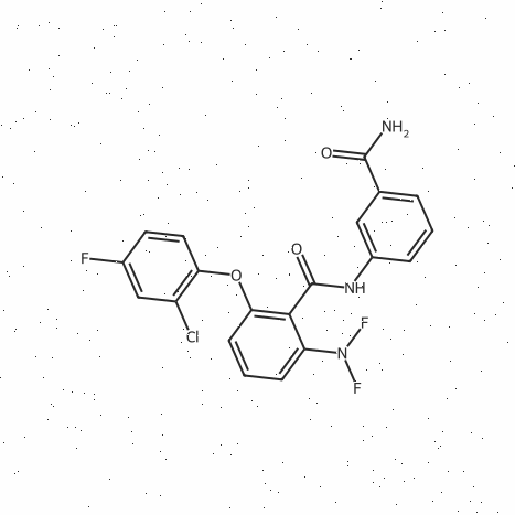 NC(=O)c1cccc(NC(=O)c2c(Oc3ccc(F)cc3Cl)cccc2N(F)F)c1